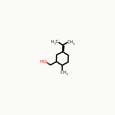 CC(C)=C1CCC(C)C(CO)C1